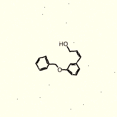 OC/C=C\c1cccc(OCc2ccccc2)c1